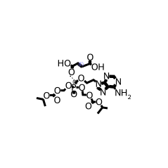 CC(C)OC(=O)OCOP(=O)(OCOC(=O)OC(C)C)[C@H](C)OCCn1cnc2c(N)ncnc21.O=C(O)/C=C/C(=O)O